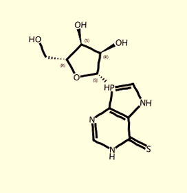 OC[C@H]1O[C@@H]([PH]2=CNc3c2nc[nH]c3=S)[C@H](O)[C@@H]1O